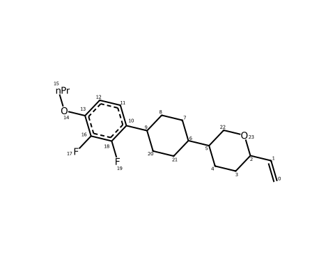 C=CC1CCC(C2CCC(c3ccc(OCCC)c(F)c3F)CC2)CO1